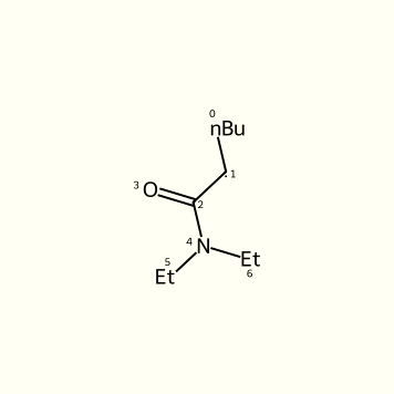 CCCC[CH]C(=O)N(CC)CC